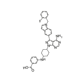 Nc1ncnc2c1c(-c1ccc3c(ccn3Cc3ccccc3F)c1)nn2C1CCC(Nc2cccc(C(=O)O)c2)CC1